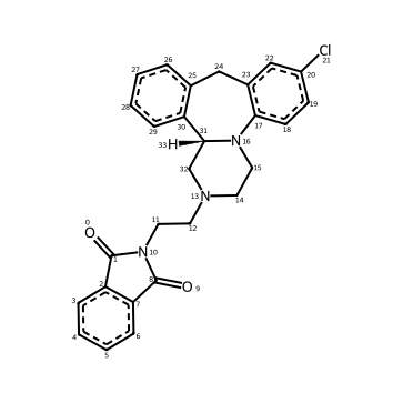 O=C1c2ccccc2C(=O)N1CCN1CCN2c3ccc(Cl)cc3Cc3ccccc3[C@H]2C1